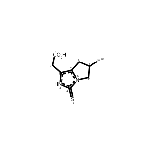 O=C(O)Cc1[nH]c(=S)n2c1CC(F)C2